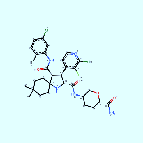 CCc1ccc(Cl)cc1NC(=O)[C@H]1[C@@H](c2ccnc(Cl)c2F)[C@H](C(=O)N[C@@H]2CC[C@@H](C(N)=O)OC2)NC12CCC(C)(C)CC2